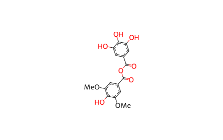 COc1cc(C(=O)OC(=O)c2cc(O)c(O)c(O)c2)cc(OC)c1O